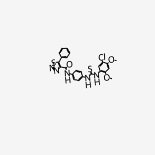 COc1cc(OC)c(NC(=S)Nc2ccc(NC(=O)c3nnsc3-c3ccccc3)cc2)cc1Cl